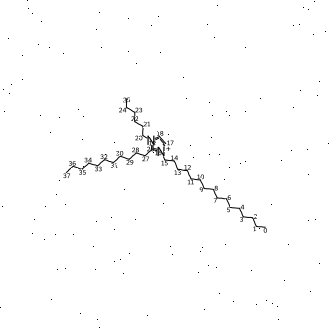 CCCCCCCCCCCCCCCC[n+]1ccn(CCCCCC)c1CCCCCCCCCCC